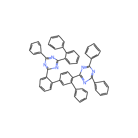 c1ccc(-c2nc(-c3ccccc3)nc(-c3ccc(-c4ccccc4-c4nc(-c5ccccc5)nc(-c5ccccc5-c5ccccc5)n4)cc3-c3ccccc3)n2)cc1